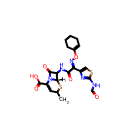 CC1C=C(C(=O)O)N2C(=O)C(NC(=O)C(=NOC3=CCCCC3)c3csc(NC=O)n3)[C@@H]2S1